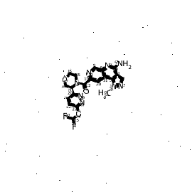 Cn1ncc2c(N)nc3cnc(C(=O)N4CCOC[C@@H]4c4ccc(OC(F)F)nn4)cc3c21